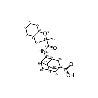 CC1CCCCC1OC(C)(C)C(=O)NC1C2CC3CC1CC(C(=O)O)(C3)C2